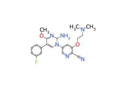 COC1=NC(N)N(c2cnc(C#N)c(OCCN(C)C)c2)C=C1c1cccc(F)c1